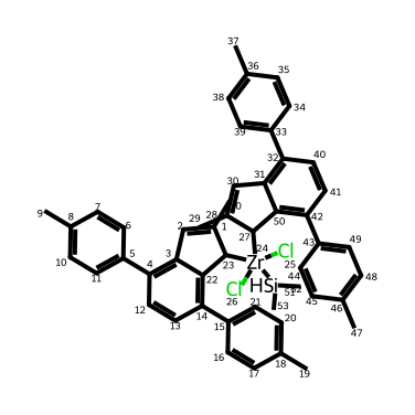 CC1=Cc2c(-c3ccc(C)cc3)ccc(-c3ccc(C)cc3)c2[CH]1[Zr]([Cl])([Cl])([CH]1C(C)=Cc2c(-c3ccc(C)cc3)ccc(-c3ccc(C)cc3)c21)[SiH](C)C